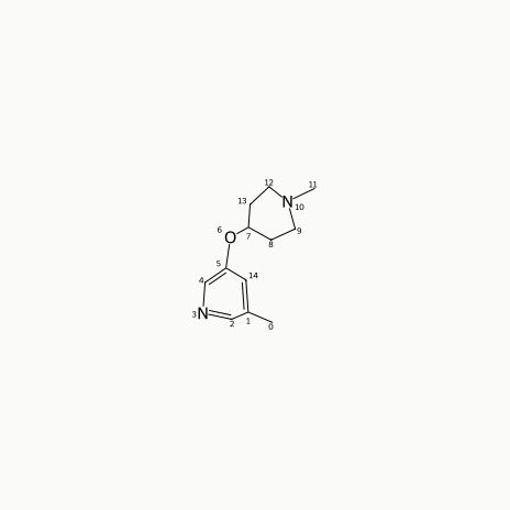 Cc1cncc(OC2CCN(C)CC2)c1